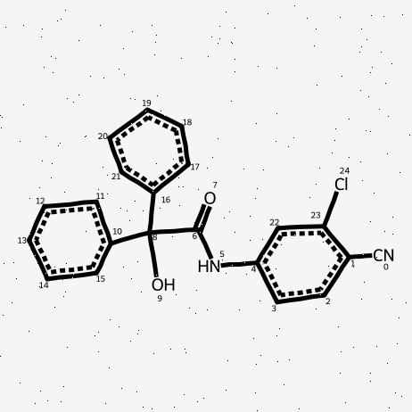 N#Cc1ccc(NC(=O)C(O)(c2ccccc2)c2ccccc2)cc1Cl